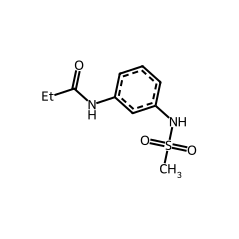 CCC(=O)Nc1cccc(NS(C)(=O)=O)c1